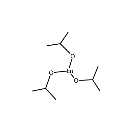 CC(C)[O][Eu]([O]C(C)C)[O]C(C)C